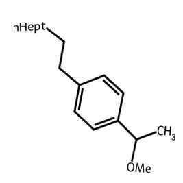 CCCCCCCCCc1ccc(C(C)OC)cc1